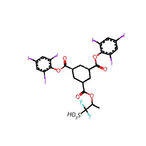 CC(OC(=O)C1CC(C(=O)Oc2c(I)cc(I)cc2I)CC(C(=O)Oc2c(I)cc(I)cc2I)C1)C(F)(F)S(=O)(=O)O